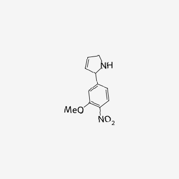 COc1cc(C2C=CCN2)ccc1[N+](=O)[O-]